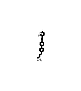 CCCCCc1ccc(-c2ccc(C#Cc3ccc(F)nc3F)cc2)cc1